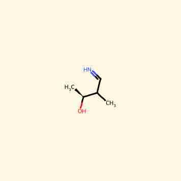 CC(C=N)[C@H](C)O